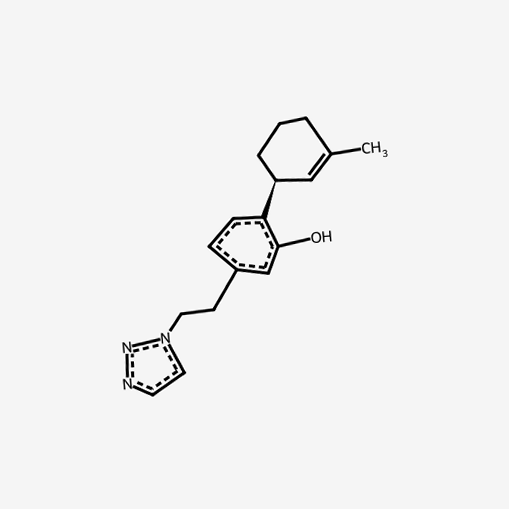 CC1=C[C@@H](c2ccc(CCn3ccnn3)cc2O)CCC1